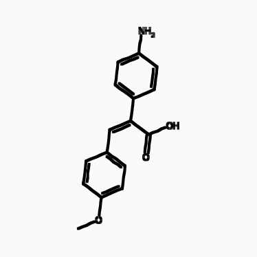 COc1ccc(C=C(C(=O)O)c2ccc(N)cc2)cc1